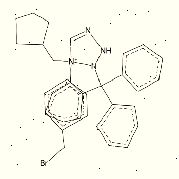 BrCc1ccc([N+]2(CC3CCCC3)C=NNN2C(c2ccccc2)(c2ccccc2)c2ccccc2)cc1